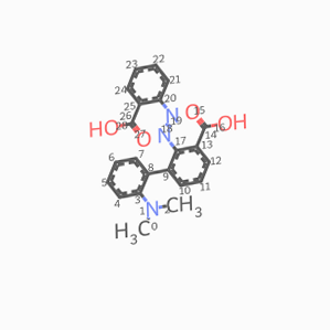 CN(C)c1ccccc1-c1cccc(C(=O)O)c1N=Nc1ccccc1C(=O)O